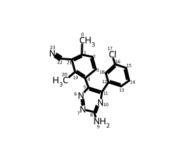 Cc1ccc(-c2nnc(N)nc2-c2cccc(Cl)c2)c(C)c1C#N